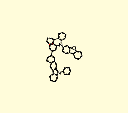 c1ccc(-c2ccccc2N(c2cccc(-c3ccc4cc5c6ccccc6n(-c6ccccc6)c5cc4c3)c2)c2ccc3c(c2)oc2ccccc23)cc1